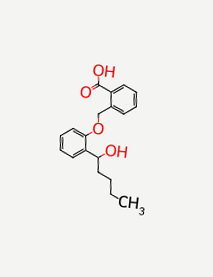 CCCCC(O)c1ccccc1OCc1ccccc1C(=O)O